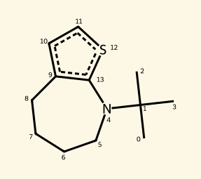 CC(C)(C)N1CCCCc2ccsc21